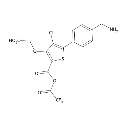 NCc1ccc(-c2sc(C(=O)OC(=O)C(F)(F)F)c(OCC(=O)O)c2Cl)cc1